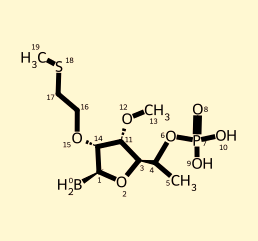 B[C@@H]1O[C@H](C(C)OP(=O)(O)O)[C@@H](OC)[C@H]1OCCSC